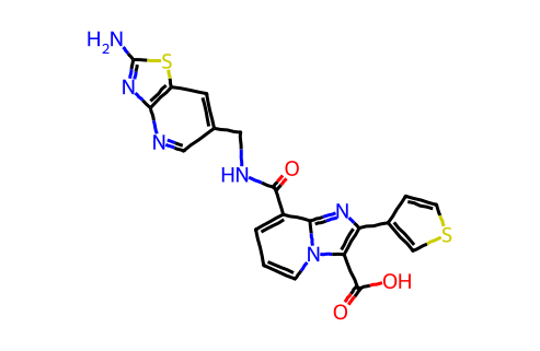 Nc1nc2ncc(CNC(=O)c3cccn4c(C(=O)O)c(-c5ccsc5)nc34)cc2s1